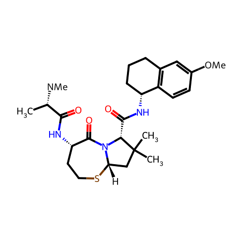 CN[C@@H](C)C(=O)N[C@H]1CCS[C@H]2CC(C)(C)[C@@H](C(=O)N[C@@H]3CCCc4cc(OC)ccc43)N2C1=O